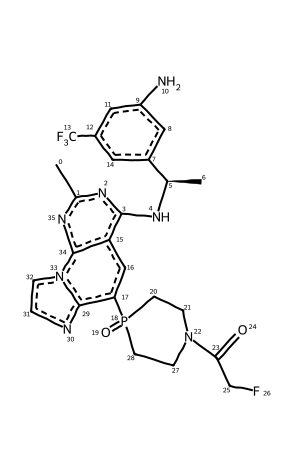 Cc1nc(N[C@H](C)c2cc(N)cc(C(F)(F)F)c2)c2cc(P3(=O)CCN(C(=O)CF)CC3)c3nccn3c2n1